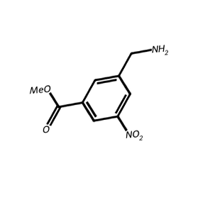 COC(=O)c1cc(CN)cc([N+](=O)[O-])c1